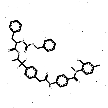 Cc1ccc(N(C)C(=O)c2ccc(NC(=O)Cc3ccc(C(F)(F)C(C)OC(=O)C(Cc4ccccc4)NC(=O)OCc4ccccc4)cc3)cc2)c(Cl)c1